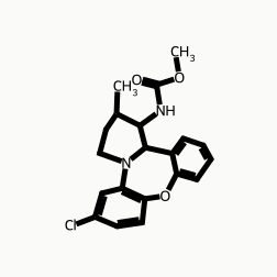 COC(=O)NC1C(C)CCN2c3cc(Cl)ccc3Oc3ccccc3C12